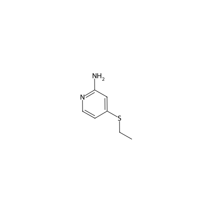 CCSc1ccnc(N)c1